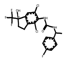 CC(NC(=O)Nc1c(Cl)cc2c(c1Cl)CC[C@]2(O)C(F)(F)F)c1ccc(F)cc1